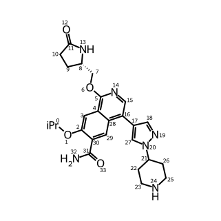 CC(C)Oc1cc2c(OC[C@@H]3CCC(=O)N3)ncc(-c3cnn(C4CCNCC4)c3)c2cc1C(N)=O